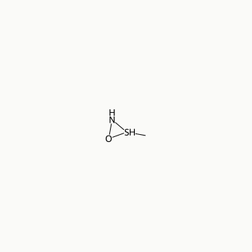 C[SH]1NO1